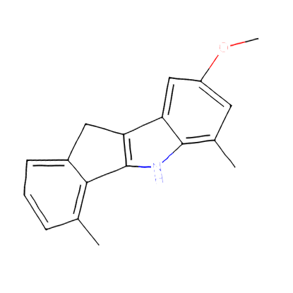 COc1cc(C)c2[nH]c3c(c2c1)Cc1cccc(C)c1-3